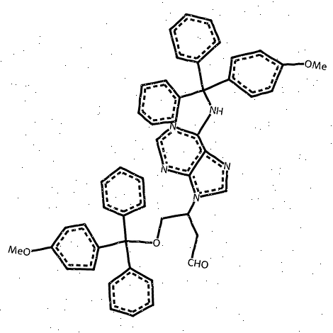 COc1ccc(C(Nc2ncnc3c2ncn3C(CC=O)COC(c2ccccc2)(c2ccccc2)c2ccc(OC)cc2)(c2ccccc2)c2ccccc2)cc1